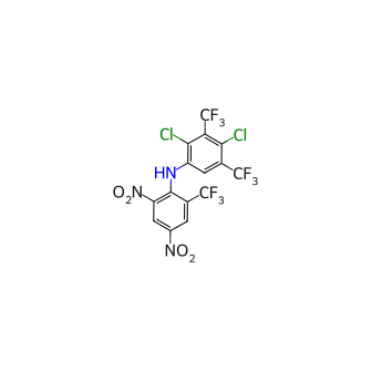 O=[N+]([O-])c1cc([N+](=O)[O-])c(Nc2cc(C(F)(F)F)c(Cl)c(C(F)(F)F)c2Cl)c(C(F)(F)F)c1